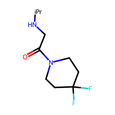 CC(C)NCC(=O)N1CCC(F)(F)CC1